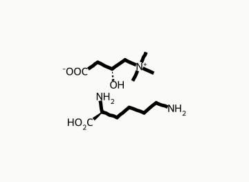 C[N+](C)(C)C[C@H](O)CC(=O)[O-].NCCCC[C@H](N)C(=O)O